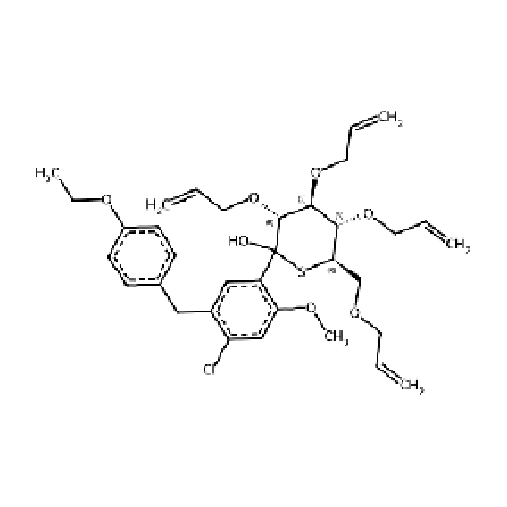 C=CCOC[C@H]1SC(O)(c2cc(Cc3ccc(OCC)cc3)c(Cl)cc2OC)[C@H](OCC=C)[C@@H](OCC=C)[C@@H]1OCC=C